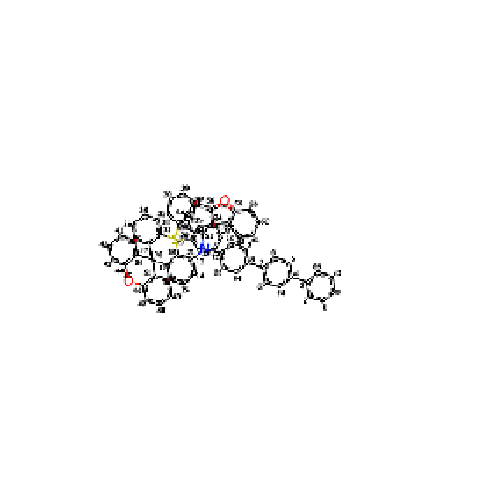 c1ccc(-c2ccc(-c3ccc(N(c4cccc5c4S(c4ccccc4)(c4ccccc4)c4ccccc4C54c5ccccc5Oc5ccccc54)c4cccc5oc6ccccc6c45)cc3)cc2)cc1